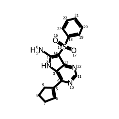 Nc1[nH]c2c(C3=CCCC3)ncnc2c1S(=O)(=O)c1ccccc1